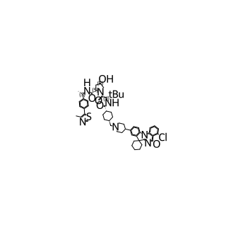 Cc1ncsc1-c1ccc([C@H](C)NC(=O)[C@@H]2C[C@@H](O)CN2C(=O)[C@@H](NC(=O)[C@H]2CC[C@H](CN3CCC(c4ccc5c(c4)C4(CCCCC4)c4nc(=O)c6c(Cl)cccc6n4-5)CC3)CC2)C(C)(C)C)cc1